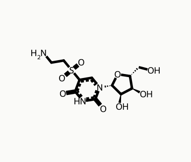 NCCS(=O)(=O)c1cn([C@@H]2O[C@H](CO)[C@@H](O)[C@H]2O)c(=O)[nH]c1=O